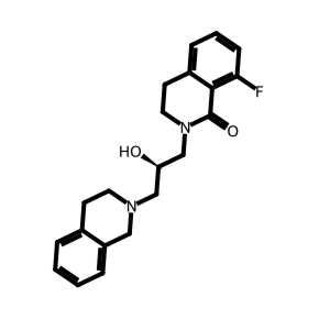 O=C1c2c(F)cccc2CCN1C[C@H](O)CN1CCc2ccccc2C1